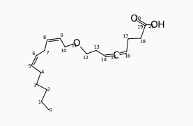 CCCCC/C=C\C/C=C\COCCC=C=CCCC(=O)O